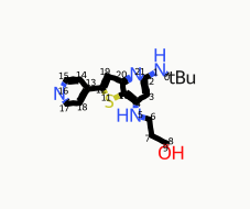 CC(C)(C)Nc1cc(NCCCO)c2sc(-c3ccncc3)cc2n1